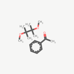 CC(=O)c1ccccc1.COC(C)(C)C(C)(C)OC